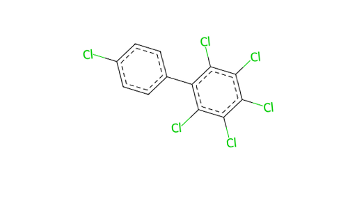 Clc1ccc(-c2c(Cl)c(Cl)c(Cl)c(Cl)c2Cl)cc1